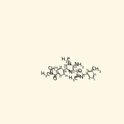 Cc1cccc(C2=NN(C)C(C3=C(N)N(C)CC(c4ccc(C(=O)N(C)C)cc4)=N3)O2)c1